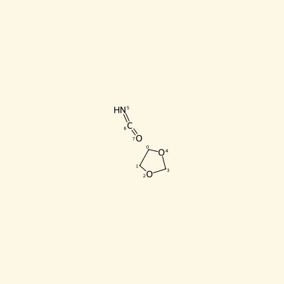 C1COCO1.N=C=O